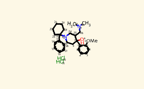 COc1ccccc1C1(O)CCN(C2(c3ccccc3)CCCCC2)CC1CN(C)C.Cl.Cl